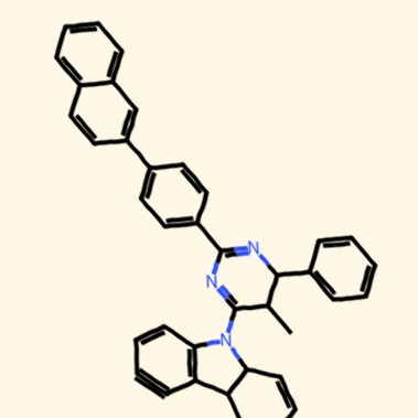 CC1C(N2c3ccc#cc3C3C=CC=CC32)=NC(c2ccc(-c3ccc4ccccc4c3)cc2)=NC1c1ccccc1